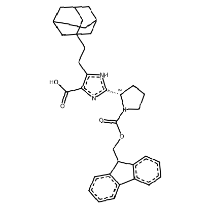 O=C(O)c1nc([C@@H]2CCCN2C(=O)OCC2c3ccccc3-c3ccccc32)[nH]c1CCC12CC3CC(CC(C3)C1)C2